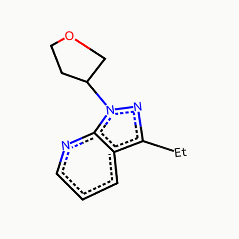 CCc1nn(C2CCOC2)c2ncccc12